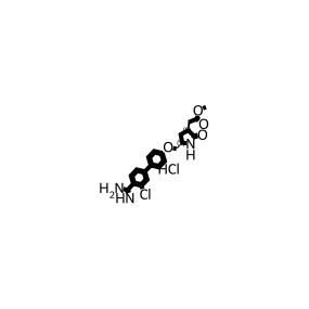 COC(=O)C[C@@H]1C[C@@H](COc2ccc(-c3ccc(C(=N)N)c(Cl)c3)cc2)NC1=O.Cl